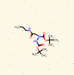 CCCNC(=O)CN(NC(=O)OC(C)(C)C)C(=O)OC(C)(C)C